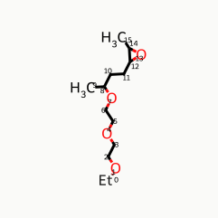 CCOCCOCCOC(C)CCC1OC1C